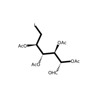 CC(=O)O[C@H]([C@H](OC(C)=O)[C@H](CI)OC(C)=O)[C@@H](C=O)OC(C)=O